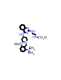 COc1cccc(N(C)C)c1CN1CCC(Nc2nc(NCCNC(=O)O)nc3ccccc23)CC1